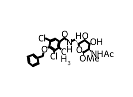 CO[C@H]1O[C@H](CNC(=O)c2cc(Cl)c(OCc3ccccc3)c(Cl)c2C)[C@@H](O)[C@H](O)[C@H]1NC(C)=O